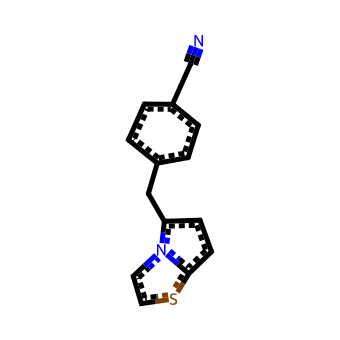 N#Cc1ccc(Cc2ccc3sccn23)cc1